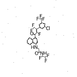 O=C(CNc1ccc(C(=O)C(F)=C(c2cc(Cl)cc(C(F)(F)F)c2)C(F)F)c2ccccc12)NC(F)C(F)F